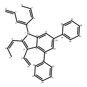 C=C/C=C(\C=C/C)n1c(/C=C\C)c(C=C)c2c(-c3ccccc3)cc(-c3ccccc3)cc21